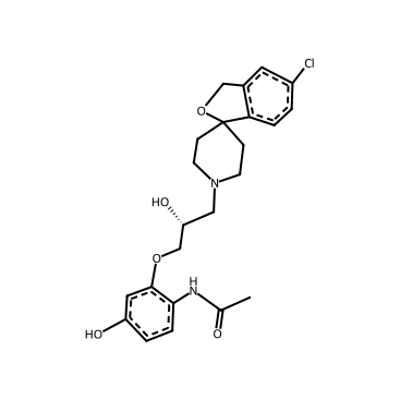 CC(=O)Nc1ccc(O)cc1OC[C@H](O)CN1CCC2(CC1)OCc1cc(Cl)ccc12